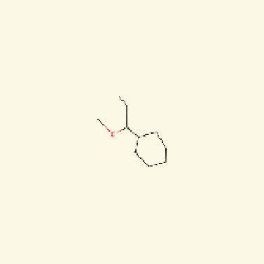 CCC(OC)C1CCCCC1